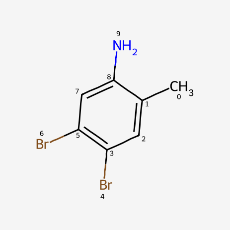 Cc1cc(Br)c(Br)cc1N